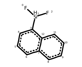 F[SiH](F)c1cccc2ccccc12